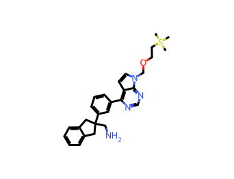 CS(C)(C)CCOCn1ccc2c(-c3cccc(C4(CN)Cc5ccccc5C4)c3)ncnc21